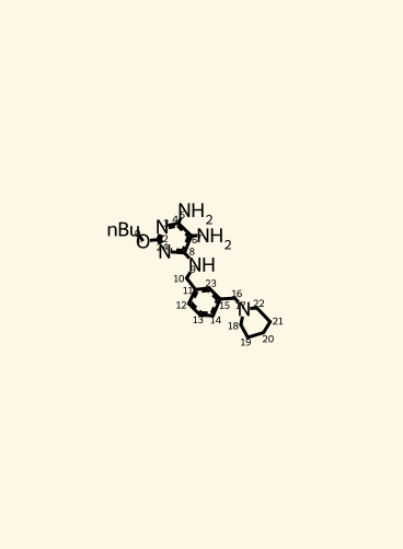 CCCCOc1nc(N)c(N)c(NCc2cccc(CN3CCCCC3)c2)n1